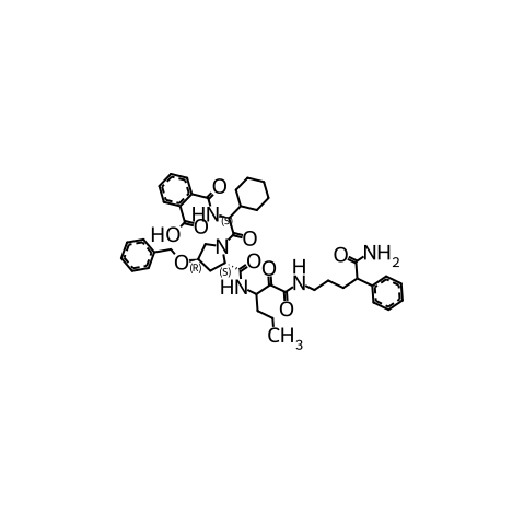 CCCC(NC(=O)[C@@H]1C[C@@H](OCc2ccccc2)CN1C(=O)[C@@H](NC(=O)c1ccccc1C(=O)O)C1CCCCC1)C(=O)C(=O)NCCCC(C(N)=O)c1ccccc1